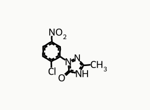 Cc1nn(-c2cc([N+](=O)[O-])ccc2Cl)c(=O)[nH]1